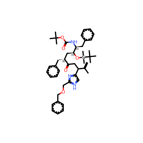 C=C(C)C(CC(=O)[C@H](Cc1ccccc1)C[C@H](O[Si](C)(C)C(C)(C)C)[C@H](Cc1ccccc1)NC(=O)OC(C)(C)C)c1c[nH]c(COCc2ccccc2)n1